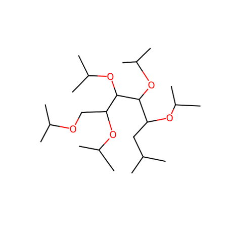 CC(C)CC(OC(C)C)C(OC(C)C)C(OC(C)C)C(COC(C)C)OC(C)C